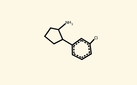 NC1CCCC1c1cccc(Cl)c1